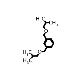 CC(C)COCc1cccc(COCC(C)C)c1